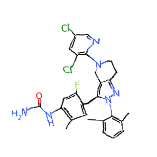 Cc1cc(-c2c3c(nn2-c2c(C)cccc2C)CCN(c2ncc(Cl)cc2Cl)C3)c(F)cc1NC(N)=O